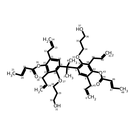 C=CCc1cc(C(C)(C)c2cc(CC=C)c(OC(=O)C=CC)c(CC=C)c2OCCCO)c(OCCCO)c(CC=C)c1OC(=O)C=CC